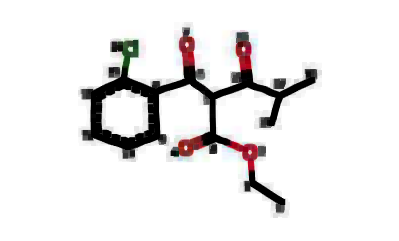 CCOC(=O)C(C(=O)c1ccccc1Cl)C(=O)C(C)C